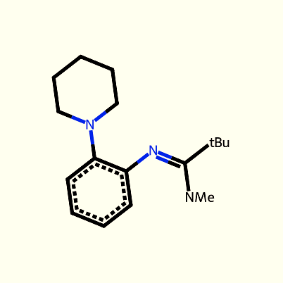 CN/C(=N\c1ccccc1N1CCCCC1)C(C)(C)C